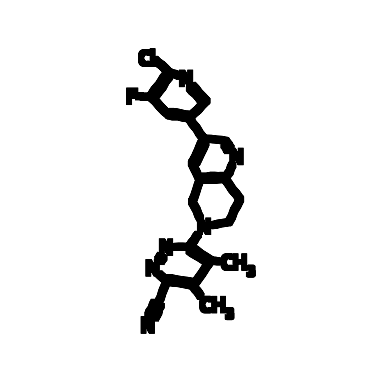 Cc1c(C#N)nnc(N2CCc3ncc(-c4cnc(Cl)c(F)c4)cc3C2)c1C